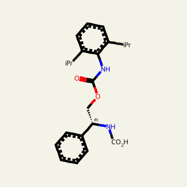 CC(C)c1cccc(C(C)C)c1NC(=O)OC[C@H](NC(=O)O)c1ccccc1